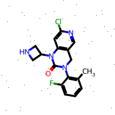 Cc1cccc(F)c1N1Cc2cnc(Cl)cc2N(C2CNC2)C1=O